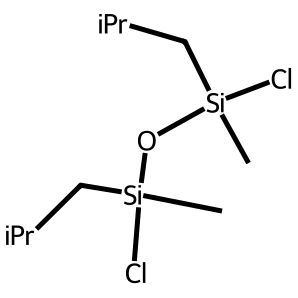 CC(C)C[Si](C)(Cl)O[Si](C)(Cl)CC(C)C